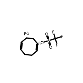 C1=C\CC/C=C\CC/1.O=S(=O)(O)C(F)(F)F.[Pd]